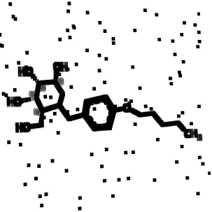 CCCCCOc1ccc(CC2C[C@H](O)[C@@H](O)[C@@H](O)[C@@H]2CO)cc1